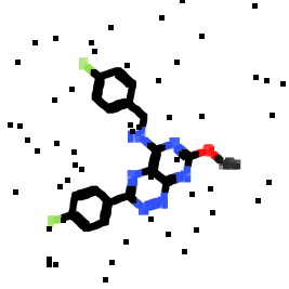 CCCCOc1nc(NCc2ccc(F)cc2)c2nc(-c3ccc(F)cc3)nnc2n1